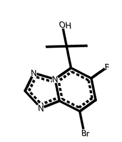 CC(C)(O)c1c(F)cc(Br)c2ncnn12